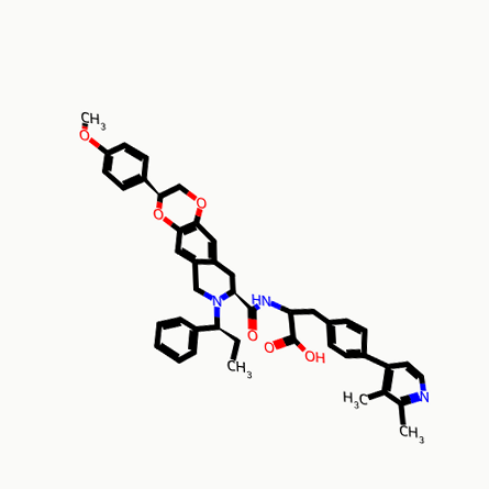 CC[C@@H](c1ccccc1)N1Cc2cc3c(cc2C[C@H]1C(=O)NC(Cc1ccc(-c2ccnc(C)c2C)cc1)C(=O)O)OC[C@H](c1ccc(OC)cc1)O3